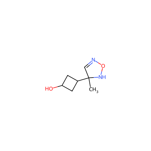 CC1(C2CC(O)C2)C=NON1